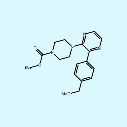 COCc1ccc(-c2nccnc2N2CCN(C(=O)OC(C)(C)C)CC2)cc1